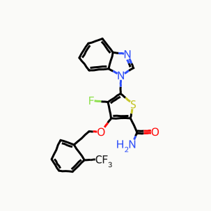 NC(=O)c1sc(-n2cnc3ccccc32)c(F)c1OCc1ccccc1C(F)(F)F